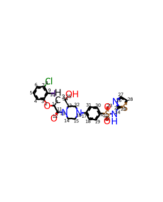 C[C@H](Oc1cccc(Cl)c1I)C(=O)N1CCN(c2ccc(S(=O)(=O)Nc3nccs3)cc2)C[C@@H]1CO